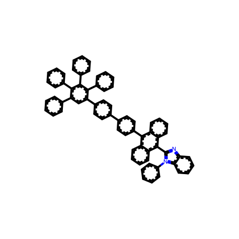 c1ccc(-c2cc(-c3ccc(-c4ccc(-c5c6ccccc6c(-c6nc7ccccc7n6-c6ccccc6)c6ccccc56)cc4)cc3)c(-c3ccccc3)c(-c3ccccc3)c2-c2ccccc2)cc1